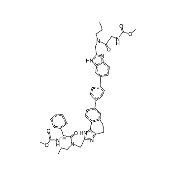 CCCN(Cc1nc2ccc(-c3ccc(-c4ccc5c(c4)CCc4nc(CN(CCC)C(=O)[C@H](NC(=O)OC)c6ccccc6)[nH]c4-5)cc3)cc2[nH]1)C(=O)CNC(=O)OC